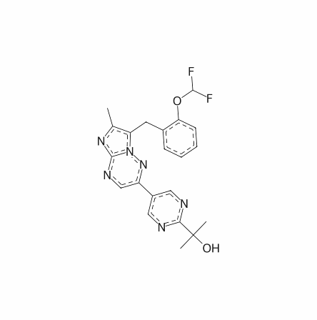 Cc1nc2ncc(-c3cnc(C(C)(C)O)nc3)nn2c1Cc1ccccc1OC(F)F